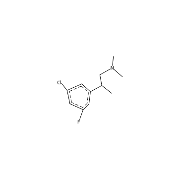 CC(CN(C)C)c1cc(F)cc(Cl)c1